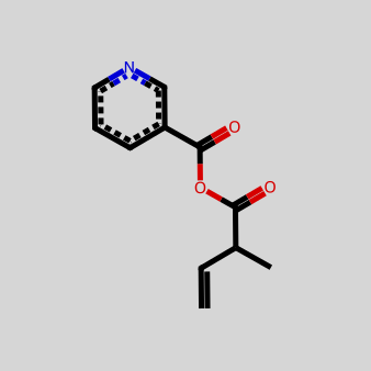 C=CC(C)C(=O)OC(=O)c1cccnc1